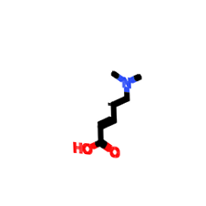 CN(C)C[CH]C=CC(=O)O